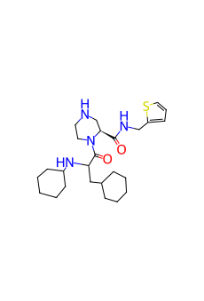 O=C(NCc1cccs1)[C@@H]1CNCCN1C(=O)C(CC1CCCCC1)NC1CCCCC1